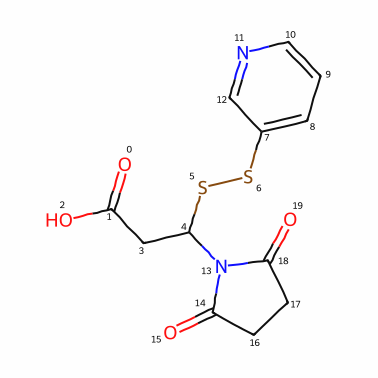 O=C(O)CC(SSc1cccnc1)N1C(=O)CCC1=O